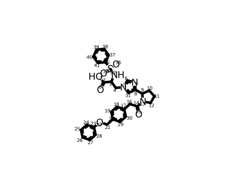 O=C(O)C(Cn1cnc(C2CCCN2C(=O)Cc2ccc(COc3ccccc3)cc2)c1)NS(=O)(=O)c1ccccc1